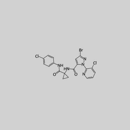 O=C(NC1(C(=O)Nc2ccc(Cl)cc2)CC1)c1cc(Br)nn1-c1ncccc1Cl